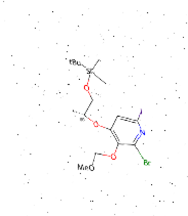 COCOc1c(O[C@H](C)CO[Si](C)(C)C(C)(C)C)cc(I)nc1Br